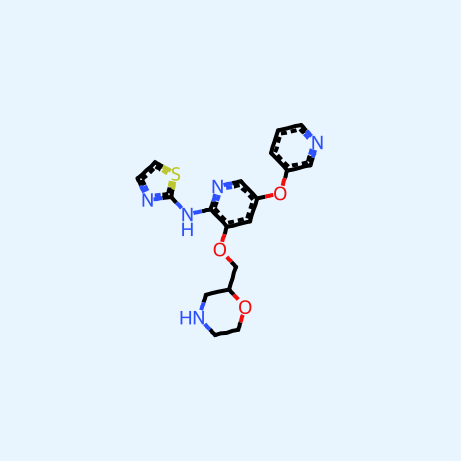 c1cncc(Oc2cnc(Nc3nccs3)c(OCC3CNCCO3)c2)c1